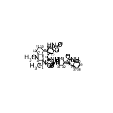 CCN(CCN(C)C1CCCCC1)C(=O)[C@@H](Cc1ccc2[nH]c(=O)oc2c1)NC(=O)N1CCC(N2Cc3ccccc3NC2=O)CC1